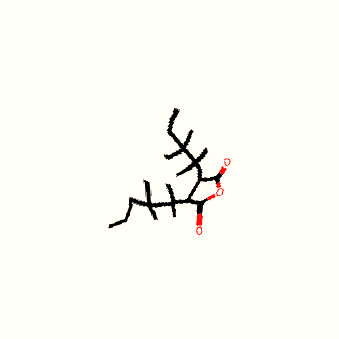 CCCC(C)(C)C(C)(C)C1C(=O)OC(=O)C1C(C)(C)C(C)(C)CC